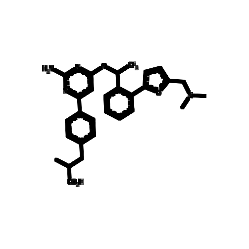 CC(Cc1ccc(-c2cc(OC(c3ccccc3-c3ccc(CN(C)C)o3)C(F)(F)F)nc(N)n2)cc1)C(=O)O